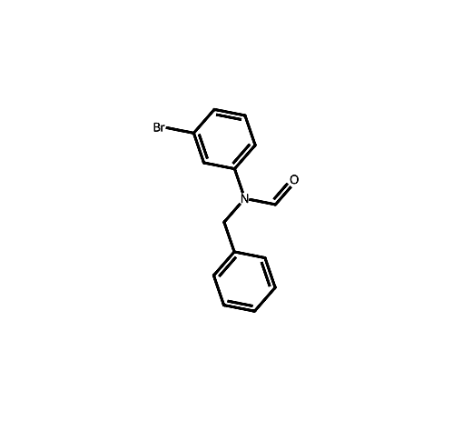 O=CN(Cc1ccccc1)c1cccc(Br)c1